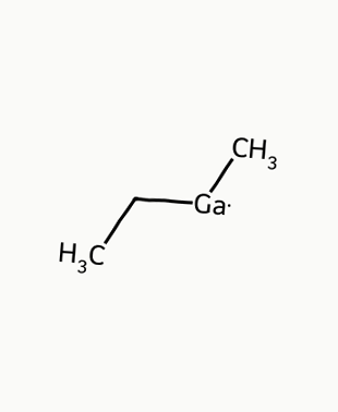 C[CH2][Ga][CH3]